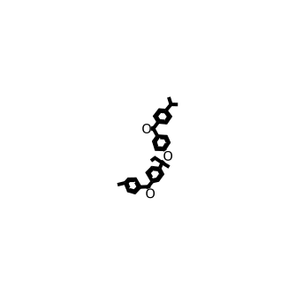 CCC(C)(Oc1ccc(C(=O)c2ccc(C(C)C)cc2)cc1)c1ccc(C(=O)c2ccc(C)cc2)cc1